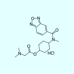 CN(C)CC(=O)OC1CCC(N(C)C(=O)c2ccc3nonc3c2)CC1.Cl